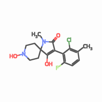 Cc1ccc(F)c(C2=C(O)C3(CCN(O)CC3)N(C)C2=O)c1Cl